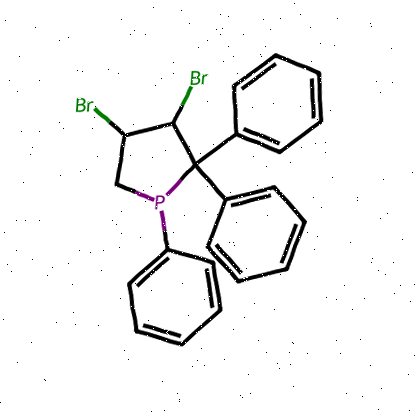 BrC1CP(c2ccccc2)C(c2ccccc2)(c2ccccc2)C1Br